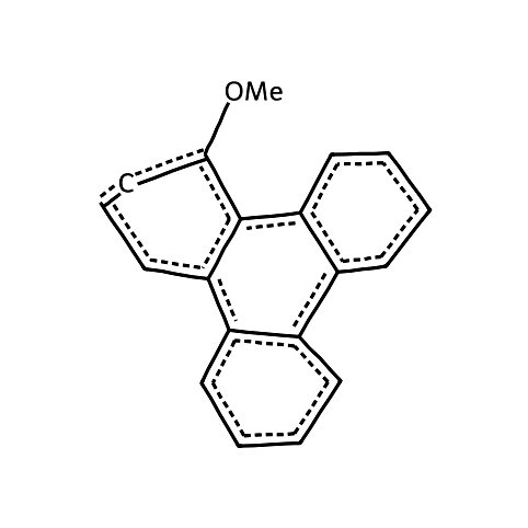 COc1cccc2c3ccccc3c3ccccc3c12